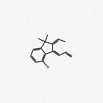 C=C/C=C1\C(=C/C)C(C)(C)c2cccc(Br)c21